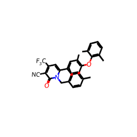 Cc1ccc(Cn2c(-c3ccc(Oc4c(C)cccc4C)c(C)c3)cc(C(F)(F)F)c(C#N)c2=O)c(C)c1